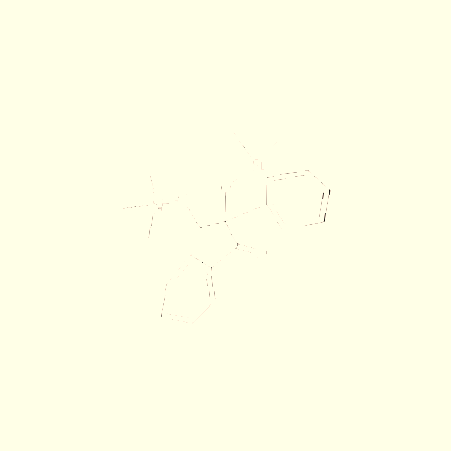 C[Si](C)(C)OCC(O[Si](C)(C)C)(C(=O)c1ccccc1)c1ccccc1